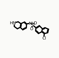 O=S(=O)(Nc1ccc2c(c1)CNCC2)c1ccc2c(Cl)cccc2c1